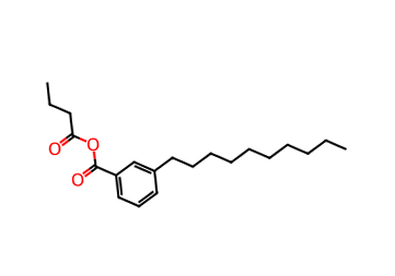 CCCCCCCCCCc1cccc(C(=O)OC(=O)CCC)c1